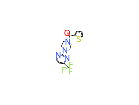 O=C(c1cccs1)N1CCN(c2nccc(C(F)(F)F)n2)CC1